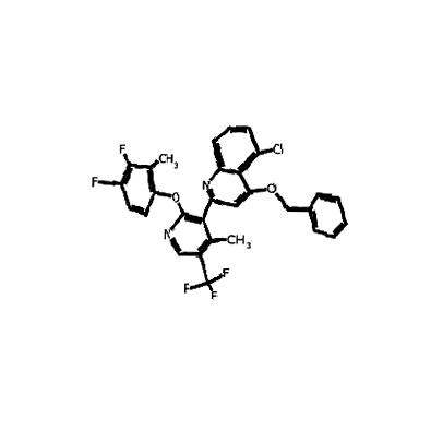 Cc1c(Oc2ncc(C(F)(F)F)c(C)c2-c2cc(OCc3ccccc3)c3c(Cl)cccc3n2)ccc(F)c1F